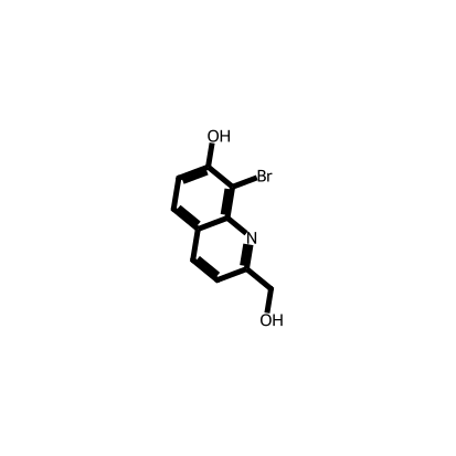 OCc1ccc2ccc(O)c(Br)c2n1